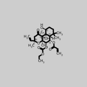 C=CC(=O)O[C@H]1[C@H]2C(C)(C)CC[C@H](O)[C@]2(C)[C@@]2(O)C(=O)C[C@](C)(C=C)O[C@]2(C)[C@H]1OC(=O)OCC